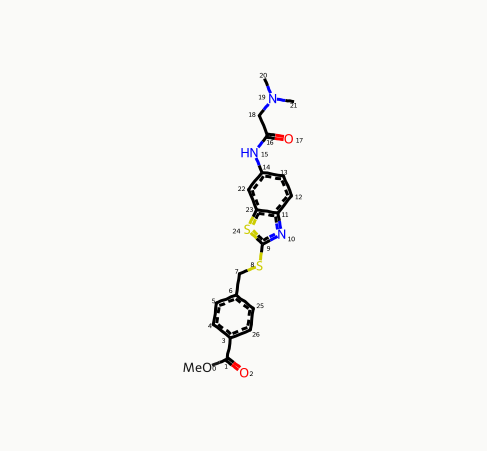 COC(=O)c1ccc(CSc2nc3ccc(NC(=O)CN(C)C)cc3s2)cc1